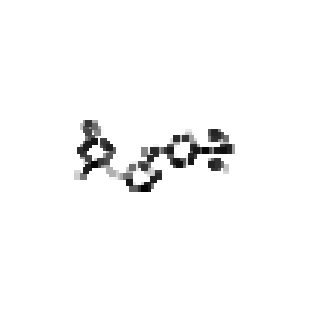 CCc1nc(C)ccc1Oc1ccnc(Nc2ccc(C(C)(C)O)nc2)c1